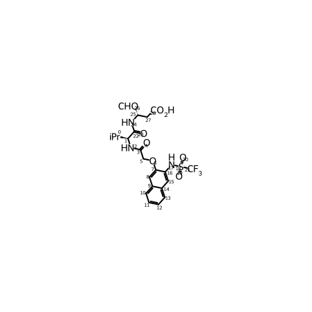 CC(C)[C@H](NC(=O)COc1cc2ccccc2cc1NS(=O)(=O)C(F)(F)F)C(=O)N[C@H](C=O)CC(=O)O